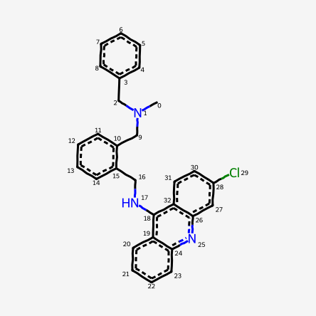 CN(Cc1ccccc1)Cc1ccccc1CNc1c2ccccc2nc2cc(Cl)ccc12